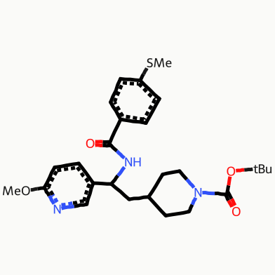 COc1ccc(C(CC2CCN(C(=O)OC(C)(C)C)CC2)NC(=O)c2ccc(SC)cc2)cn1